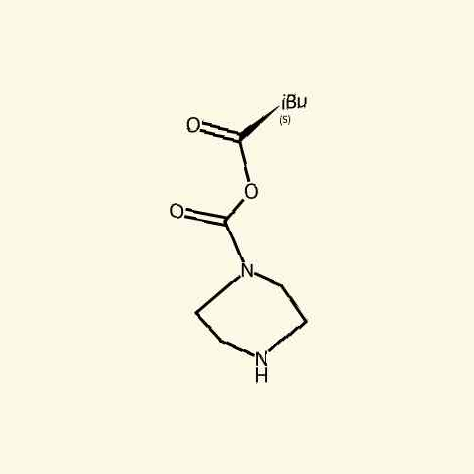 CC[C@H](C)C(=O)OC(=O)N1CCNCC1